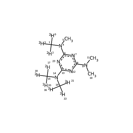 [2H]C([2H])([2H])N(C)c1nc(N(C)C)nc(N(C([2H])([2H])[2H])C([2H])([2H])[2H])n1